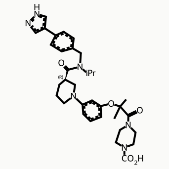 CC(C)N(Cc1ccc(-c2cn[nH]c2)cc1)C(=O)[C@@H]1CCCN(c2cccc(OC(C)(C)C(=O)N3CCN(C(=O)O)CC3)c2)C1